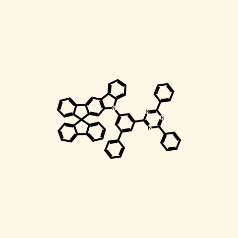 c1ccc(-c2cc(-c3nc(-c4ccccc4)nc(-c4ccccc4)n3)cc(-n3c4ccccc4c4cc5c(cc43)C3(c4ccccc4-c4ccccc43)c3ccccc3-5)c2)cc1